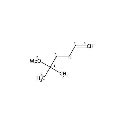 [CH]=CCCC(C)(C)OC